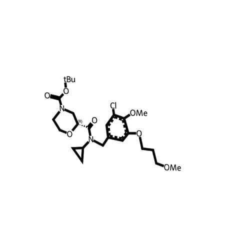 COCCCOc1cc(CN(C(=O)[C@H]2CN(C(=O)OC(C)(C)C)CCO2)C2CC2)cc(Cl)c1OC